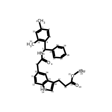 Cc1ccc(C(NC(=O)Cc2ccc3[nH]cc(CCC(=O)OC(C)(C)C)c3c2)c2ccccc2)c(C)c1